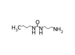 CCCCNC(=O)NCCCN